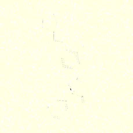 O=C(N[C@@H](C(=O)O)c1ccccc1)c1cc(Cl)c(OCC2CCCC2)cc1F